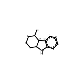 CC1CCCC2Nc3ccccc3C12